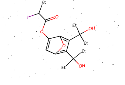 CCC(I)C(=O)Oc1cc2oc1c(C(O)(CC)CC)c2C(O)(CC)CC